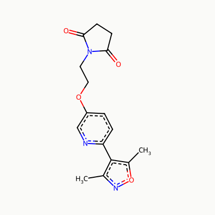 Cc1noc(C)c1-c1ccc(OCCN2C(=O)CCC2=O)cn1